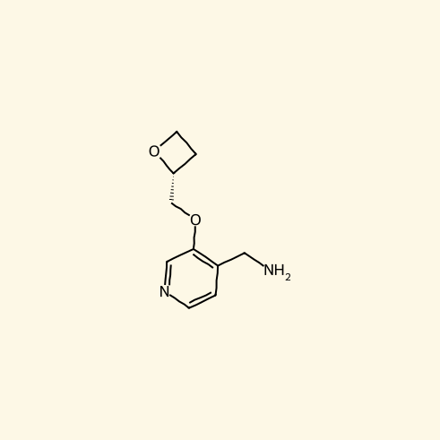 NCc1ccncc1OC[C@H]1CCO1